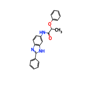 CC(Oc1ccccc1)C(=O)Nc1ccc2nc(-c3ccccc3)[nH]c2c1